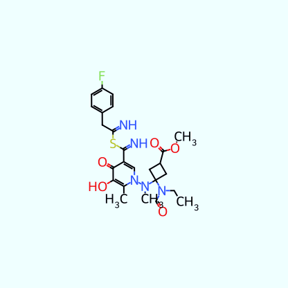 CCN(C=O)C1(N(C)n2cc(C(=N)SC(=N)Cc3ccc(F)cc3)c(=O)c(O)c2C)CC(C(=O)OC)C1